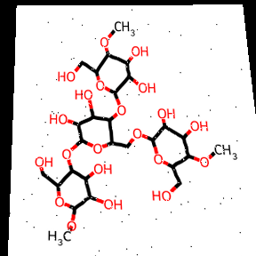 COC1OC(CO)C(OC2OC(COC3OC(CO)C(OC)C(O)C3O)C(OC3OC(CO)C(OC)C(O)C3O)C(O)C2O)C(O)C1O